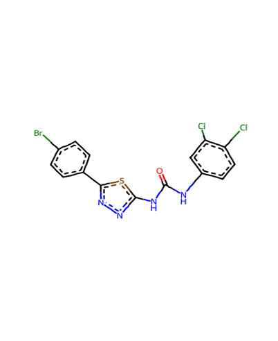 O=C(Nc1ccc(Cl)c(Cl)c1)Nc1nnc(-c2ccc(Br)cc2)s1